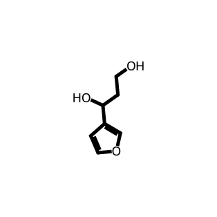 OCCC(O)c1ccoc1